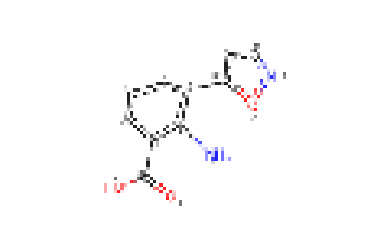 Nc1c(C(=O)O)cccc1-c1ccno1